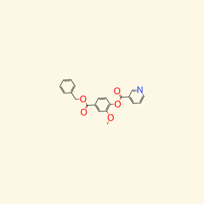 COc1cc(C(=O)OCc2ccccc2)ccc1OC(=O)c1cccnc1